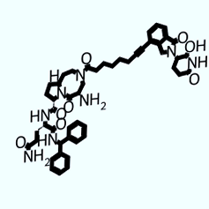 NC(=O)CC[C@H](NC(=O)[C@@H]1CC[C@@H]2CCN(C(=O)CCCCCC#Cc3cccc4c3CN(C3CCC(=O)NC3O)C4=O)C[C@H](N)C(=O)N21)C(=O)NC(c1ccccc1)c1ccccc1